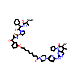 CNC(C)C(=O)NC(C(=O)N1CCC[C@H]1c1nc(C(=O)c2cccc(OCCCCCCCCC(=O)N3CCN(c4ccc(Nc5ncc6c(C)c(C(C)=O)c(=O)n(C7CCCC7)c6n5)nc4)CC3)c2)cs1)C1CCCCC1